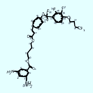 Nc1cc(N)cc(C(=O)OCCCCOC(=O)C=Cc2ccc(OC(F)(F)c3ccc(OCCCC(F)(F)F)c(F)c3F)cc2)c1